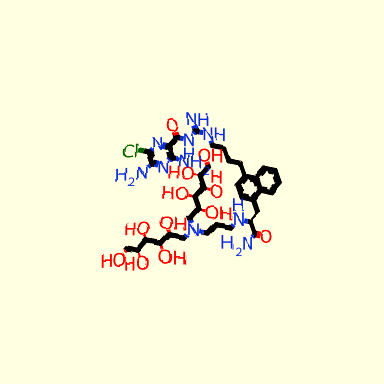 N=C(NCCCCc1ccc(C[C@H](NCCCN(C[C@H](O)[C@@H](O)[C@H](O)[C@H](O)CO)C[C@H](O)[C@@H](O)[C@H](O)[C@H](O)CO)C(N)=O)c2ccccc12)NC(=O)c1nc(Cl)c(N)nc1N